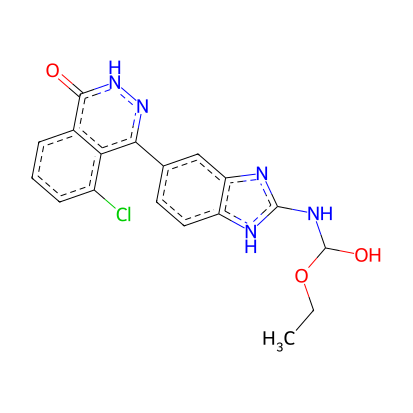 CCOC(O)Nc1nc2cc(-c3n[nH]c(=O)c4cccc(Cl)c34)ccc2[nH]1